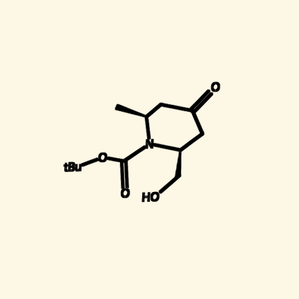 C[C@H]1CC(=O)C[C@@H](CO)N1C(=O)OC(C)(C)C